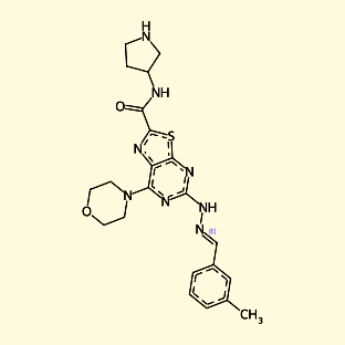 Cc1cccc(/C=N/Nc2nc(N3CCOCC3)c3nc(C(=O)NC4CCNC4)sc3n2)c1